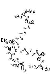 CCCCCCC(CCCC)COC(=O)CCCCCCCCC(CCCCCCCCC(=O)OCC(CCCC)CCCCCC)N(CCCn1cnc(C)c1)CC(CC)CCC